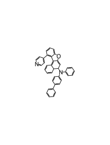 C1=CC2=c3c(oc4cccc(-c5ccncc5)c34)=CC(N(c3ccccc3)c3ccc(-c4ccccc4)cc3)C2C=C1